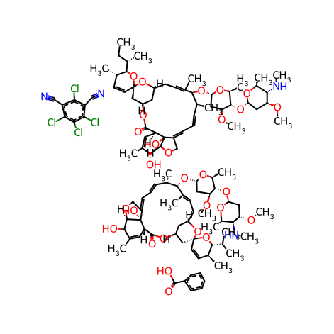 CC[C@H](C)[C@H]1O[C@]2(C=C[C@@H]1C)C[C@@H]1C[C@@H](C/C=C(\C)[C@@H](O[C@H]3C[C@H](OC)[C@@H](O[C@H]4C[C@H](OC)[C@@H](NC)[C@H](C)O4)[C@H](C)O3)[C@@H](C)/C=C/C=C3\CO[C@@H]4[C@H](O)C(C)=C[C@@H](C(=O)O1)[C@]34O)O2.CN[C@H]1[C@H](C)O[C@@H](O[C@H]2[C@H](C)O[C@@H](O[C@@H]3/C(C)=C/C[C@@H]4C[C@@H](C[C@]5(C=C[C@H](C)[C@@H](C(C)C)O5)O4)OC(=O)[C@@H]4C=C(C)[C@@H](O)[C@H]5OC/C(=C\C=C\[C@@H]3C)[C@]54O)C[C@@H]2OC)C[C@@H]1OC.N#Cc1c(Cl)c(Cl)c(Cl)c(C#N)c1Cl.O=C(O)c1ccccc1